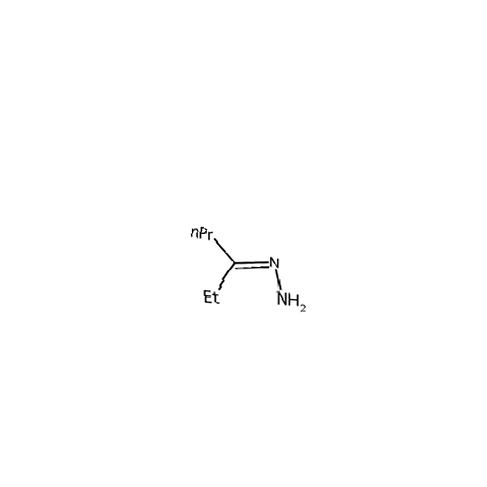 CCCC(CC)=NN